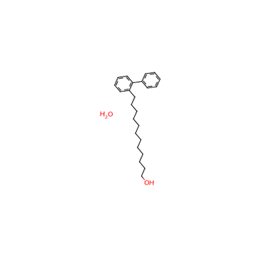 O.OCCCCCCCCCCCCc1ccccc1-c1ccccc1